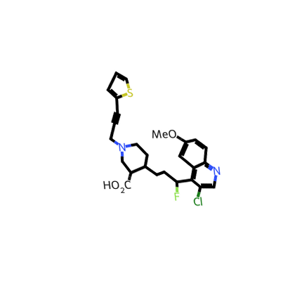 COc1ccc2ncc(Cl)c(C(F)CCC3CCN(CC#Cc4cccs4)CC3C(=O)O)c2c1